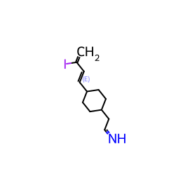 C=C(I)/C=C/C1CCC(CC=N)CC1